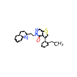 CCc1ccccc1-c1csc2cnn(CCc3ccc4ccccc4n3)c(=O)c12